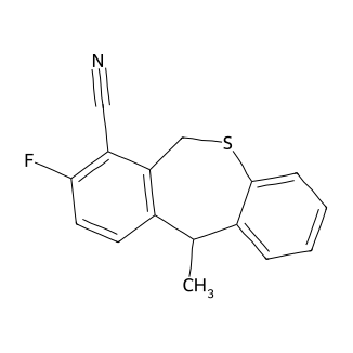 CC1c2ccccc2SCc2c1ccc(F)c2C#N